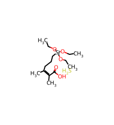 CCO[Si](CCCC(C)=C(C)C(=O)O)(OCC)OCC.S